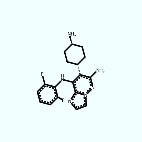 Nc1nn2ccnc2c(Nc2c(F)cccc2F)c1[C@H]1CC[C@H](N)CC1